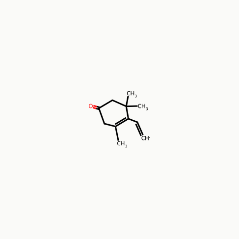 [CH]=CC1=C(C)CC(=O)CC1(C)C